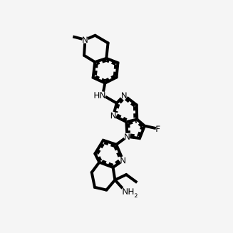 CCC1(N)CCCc2ccc(-n3cc(F)c4cnc(Nc5ccc6c(c5)CN(C)CC6)nc43)nc21